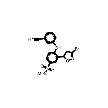 C#Cc1cccc(Nc2ccc(S(=O)(=O)NC)cc2C2CC(Br)=NO2)c1